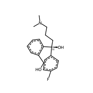 CN(C)CCC[C@](O)(c1ccc(F)cc1)c1ccccc1CO